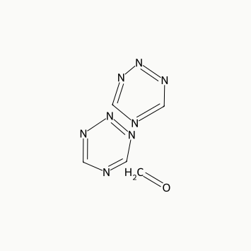 C=O.c1ncnnn1.c1ncnnn1